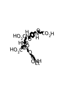 CCNC(=O)COCCOCCNC(=O)C(CCC(=O)O)NC(=O)CCC(NC(=O)C1CCC(CNC(=O)CCC(=O)O)CC1)C(=O)O